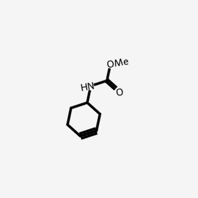 COC(=O)NC1CC#CCC1